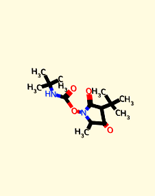 CC1C(=O)C(C(C)(C)C)C(=O)N1OC(=O)NC(C)(C)C